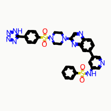 O=S(=O)(Nc1cncc(-c2ccc3ncc(N4CCN(S(=O)(=O)c5ccc(-c6nnn[nH]6)cc5)CC4)nc3c2)c1)c1ccccc1